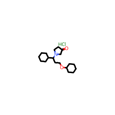 Cl.O=C1CCN(C(CCOC2CCCCC2)C2CCCCC2)C1